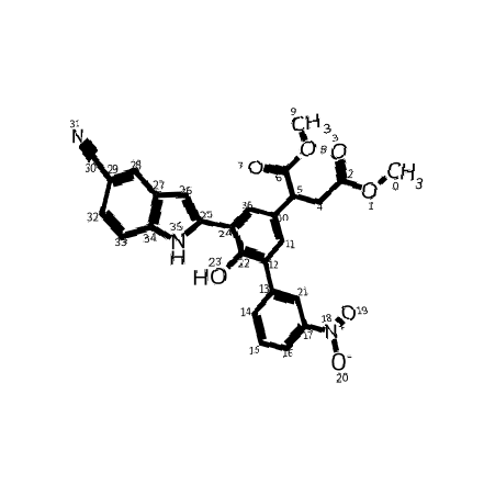 COC(=O)CC(C(=O)OC)c1cc(-c2cccc([N+](=O)[O-])c2)c(O)c(-c2cc3cc(C#N)ccc3[nH]2)c1